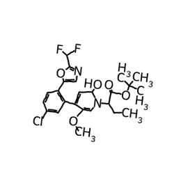 CCC(C(=O)OC(C)(C)C)N1C=C(OC)C(c2cc(Cl)ccc2-c2cnc(C(F)F)o2)=CC1O